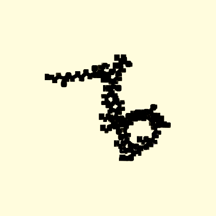 COc1cc2cc(c1Cl)N(C)C(=O)C[C@H](OC(=O)[C@H](C)N(C)C(=O)c1ccc3nc(NC(=O)[C@H](CCCNC(N)=O)NC(=O)[C@@H](NC(=O)CCCCCOC(=O)CCBr)C(C)C)ccc3c1)[C@]1(C)O[C@H]1[C@H](C)[C@@H]1C[C@@](O)(NC(=O)O1)[C@H](OC)/C=C/C=C(\C)C2